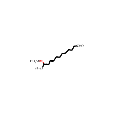 CCCCCCC(C/C=C/CCCCCCCC=O)OS(=O)(=O)O